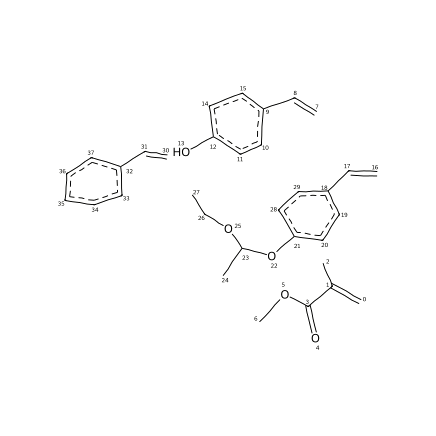 C=C(C)C(=O)OC.C=Cc1ccc(O)cc1.C=Cc1ccc(OC(C)OCC)cc1.C=Cc1ccccc1